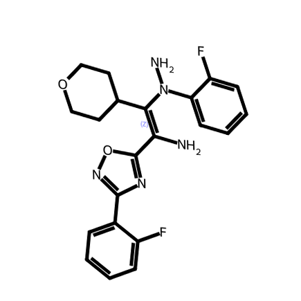 N/C(=C(/C1CCOCC1)N(N)c1ccccc1F)c1nc(-c2ccccc2F)no1